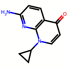 Nc1ccc2c(=O)ccn(C3CC3)c2n1